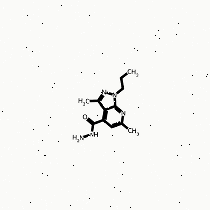 CCCn1nc(C)c2c(C(=O)NN)cc(C)nc21